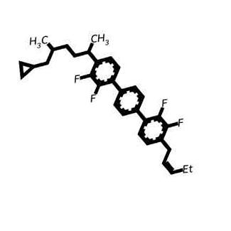 CC/C=C\Cc1ccc(-c2ccc(-c3ccc(C(C)CCC(C)CC4CC4)c(F)c3F)cc2)c(F)c1F